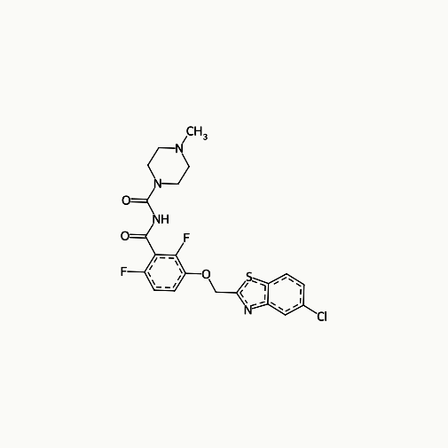 CN1CCN(C(=O)NC(=O)c2c(F)ccc(OCc3nc4cc(Cl)ccc4s3)c2F)CC1